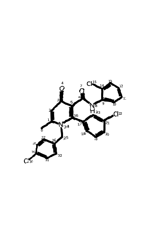 Cc1cc(=O)c(C(=O)Nc2ccccc2Cl)c(-c2cccc(Cl)c2)n1Cc1ccc(Cl)cc1